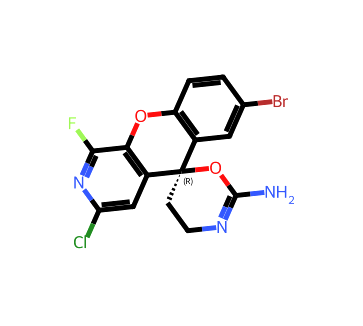 NC1=NCC[C@@]2(O1)c1cc(Br)ccc1Oc1c2cc(Cl)nc1F